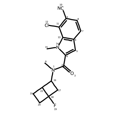 CN(C(=O)c1cc2ccc(C#N)c(Cl)c2n1C)C1CC2(F)CCC12